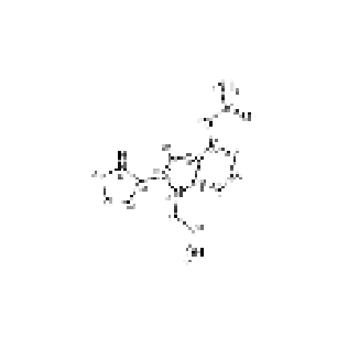 NC(=O)Oc1cccc2c1nc(C1CCCN1)n2CCO